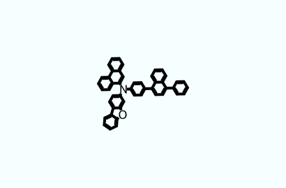 c1ccc(-c2ccc(-c3ccc(N(c4ccc5c(c4)oc4ccccc45)c4cc5ccccc5c5ccccc45)cc3)c3ccccc23)cc1